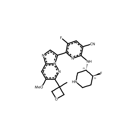 COc1cc2ncc(-c3nc(N[C@H]4CNCC[C@@H]4F)c(C#N)cc3F)n2nc1C1(C)COC1